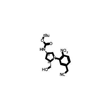 CC(C)(C)OC(=O)N[C@H]1C[C@@H](CO)N(c2cc(CC#N)ccc2[N+](=O)[O-])C1